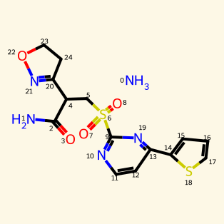 N.NC(=O)C(CS(=O)(=O)c1nccc(-c2cccs2)n1)C1=NOCC1